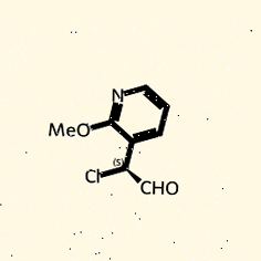 COc1ncccc1[C@H](Cl)C=O